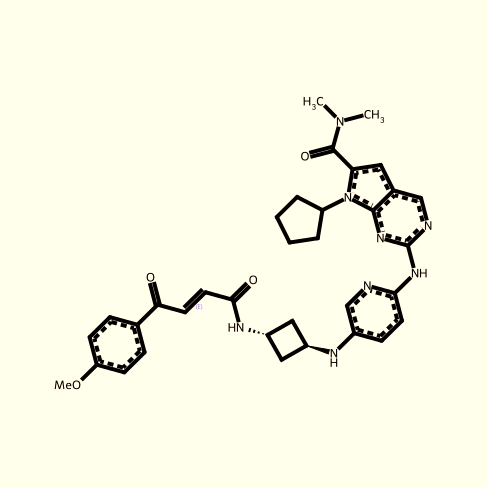 COc1ccc(C(=O)/C=C/C(=O)N[C@H]2C[C@H](Nc3ccc(Nc4ncc5cc(C(=O)N(C)C)n(C6CCCC6)c5n4)nc3)C2)cc1